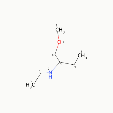 CCNC(CC)COC